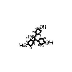 Oc1ccc(-c2[nH]c3cc(O)ccc3c2-c2ccc(O)cc2)cc1